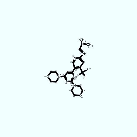 CN(C)/C=N/c1cc(C(F)(F)F)c(-c2cc(N3CCOCC3)nc(N3CCOCC3)n2)cn1